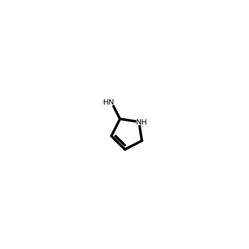 [NH]C1C=CCN1